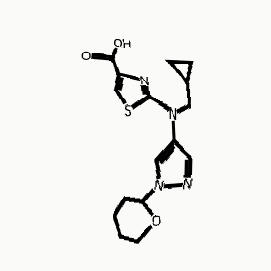 O=C(O)c1csc(N(CC2CC2)c2cnn(C3CCCCO3)c2)n1